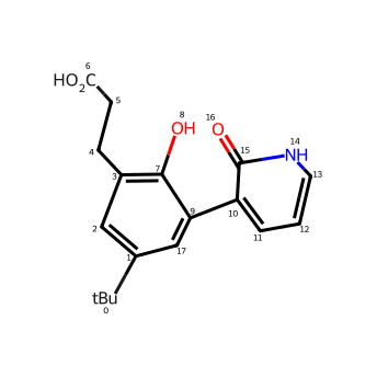 CC(C)(C)c1cc(CCC(=O)O)c(O)c(-c2ccc[nH]c2=O)c1